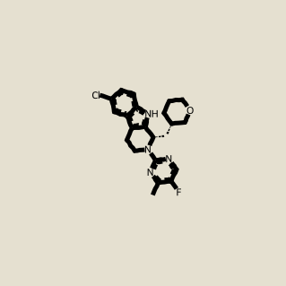 Cc1nc(N2CCc3c([nH]c4ccc(Cl)cc34)[C@@H]2C[C@@H]2CCCOC2)ncc1F